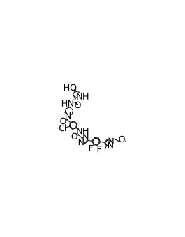 COCCn1cc(-c2ccc(-c3cnc(C(=O)Nc4ccc(C(=O)N5CCC(NC(=O)[C@@H]6C[C@@H](O)CN6)CC5)c(Cl)c4)n3C)c(F)c2F)c(C)n1